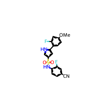 COc1ccc(-c2cc(S(=O)(=O)Nc3ccc(C#N)cc3F)c[nH]2)c(F)c1